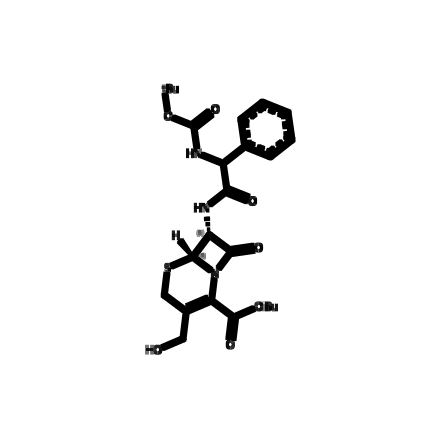 CC(C)COC(=O)C1=C(CO)CS[C@@H]2[C@H](NC(=O)C(NC(=O)OC(C)(C)C)c3ccccc3)C(=O)N12